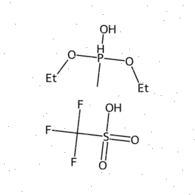 CCO[PH](C)(O)OCC.O=S(=O)(O)C(F)(F)F